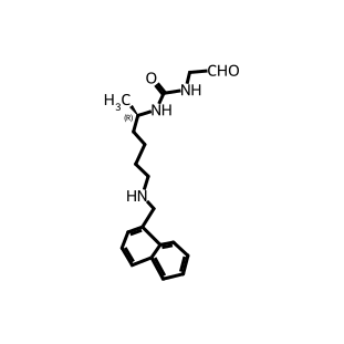 C[C@H](CCCCNCc1cccc2ccccc12)NC(=O)NCC=O